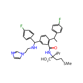 CSCC[C@@](NC(=O)c1cc(C(NCCn2ccnc2)c2ccc(F)cc2)ccc1C(C)c1ccc(F)cc1)(C(=O)O)C(C)C